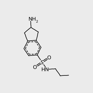 CCCNS(=O)(=O)c1ccc2c(c1)CC(N)C2